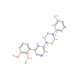 COc1cccc(-c2cncc(N3CCN(c4cccc(Cl)c4)CC3)n2)c1OC